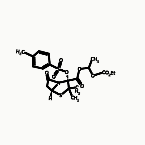 CCOC(=O)OC(C)OC(=O)[C@]1(OS(=O)(=O)c2ccc(C)cc2)N2C(=O)C[C@H]2SC1(C)C